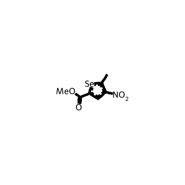 COC(=O)c1cc([N+](=O)[O-])c(C)[se]1